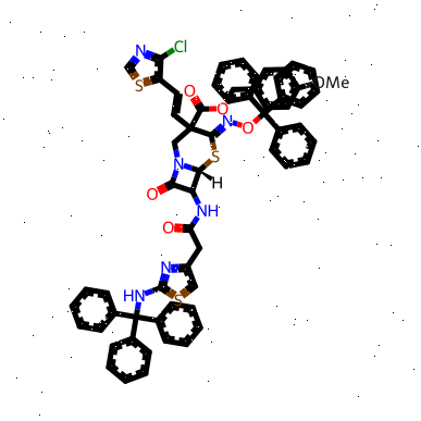 COc1ccc(COC(=O)C2(C=Cc3scnc3Cl)CN3C(=O)C(NC(=O)Cc4csc(NC(c5ccccc5)(c5ccccc5)c5ccccc5)n4)[C@H]3SC2=NOC(c2ccccc2)(c2ccccc2)c2ccccc2)cc1